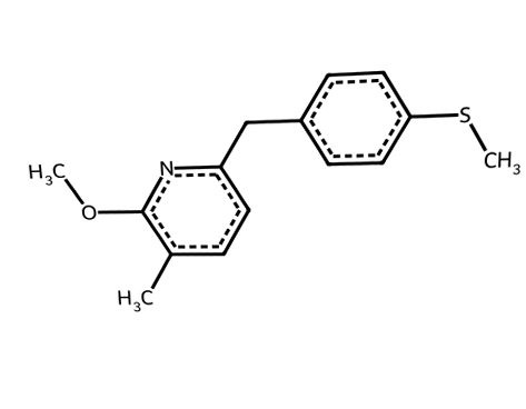 COc1nc(Cc2ccc(SC)cc2)ccc1C